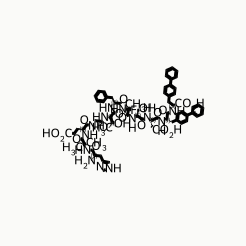 C[C@@H](O)[C@H](NC(=O)CNC(=O)[C@H](CCC(=O)O)NC(=O)C(C)(C)NC(=O)[C@@H](N)Cc1c[nH]cn1)C(=O)N[C@@H](Cc1ccccc1)C(=O)N[C@](C)(F)C(=O)N[C@@H](CO)C(=O)N[C@@H](CC(=O)O)C(=O)N[C@@H](Cc1ccc(-c2ccccc2)cc1)C(=O)N[C@@H](Cc1ccc(-c2ccccc2)cc1)C(=O)O